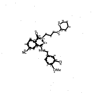 COc1ccc(CNc2nn(CCCOC3CCCCO3)c(=O)c3ccc(C#N)cc23)cc1Cl